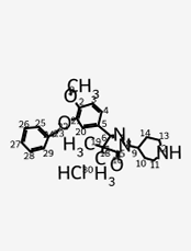 COc1ccc(C2=NN(C3CCNCC3)C(=O)C2(C)C)cc1OCc1ccccc1.Cl